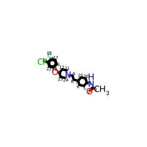 CC(=O)NC1CCC(CCN2CCC(Oc3ccc(F)c(Cl)c3)CC2)CC1